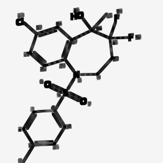 Cc1ccc(S(=O)(=O)N2CCC(F)(F)C(C)(O)c3cc(Cl)ccc32)cc1